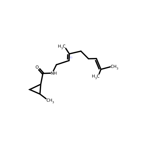 CC(C)=CCC/C(C)=C/CNC(=O)C1CC1C